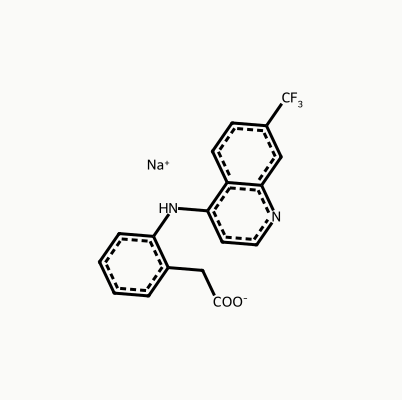 O=C([O-])Cc1ccccc1Nc1ccnc2cc(C(F)(F)F)ccc12.[Na+]